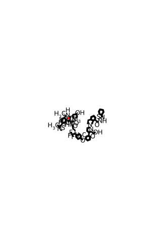 Cc1ncsc1-c1ccc([C@H](C)NC(=O)[C@@H]2C[C@@H](O)CN2C(=O)[C@@H](NC(=O)CC[C@@H](c2ccc(Oc3cccc(-c4ccc(N5CCc6cccc(C(=O)Nc7nc8ccccc8s7)c6C5)nc4C(=O)O)c3C)cc2)C(F)(F)F)C(C)(C)C)cc1